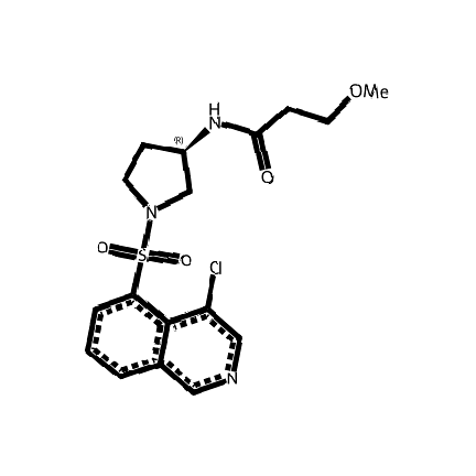 COCCC(=O)N[C@@H]1CCN(S(=O)(=O)c2cccc3cncc(Cl)c23)C1